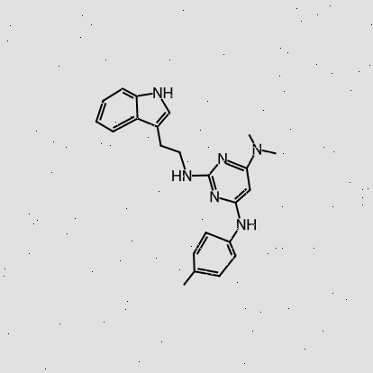 Cc1ccc(Nc2cc(N(C)C)nc(NCCc3c[nH]c4ccccc34)n2)cc1